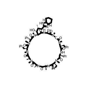 CC[C@@H]1NC(=O)[C@H]([C@H](O)[C@H](C)CC2=N[C@H]3CCCC[C@@H]3N2)N(C)C(=O)[C@H](C(C)C)N(C)C(=O)[C@H](CC(C)C)N(C)C(=O)[C@H](C)N(C)C(=O)[C@@H](C)NC(=O)[C@H](C)NC(=O)[C@H](CC(C)C)N(C)C(=O)[C@H](C(C)C)NC(=O)[C@H](CC(C)C)N(C)C(=O)CN(C)C1=O